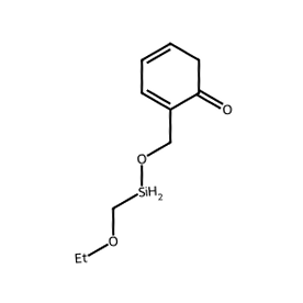 CCOC[SiH2]OCC1=CC=CCC1=O